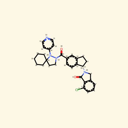 O=C1c2c(Cl)cccc2CN1[C@H]1CCc2cc(C(=O)N3CCC4(CCCCC4)N3c3ccncc3)ccc21